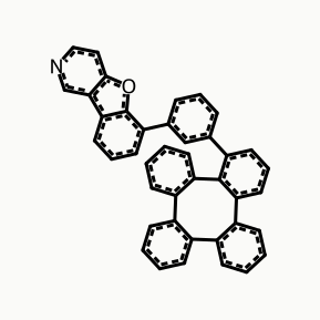 c1cc(-c2cccc3c2-c2ccccc2-c2ccccc2-c2ccccc2-3)cc(-c2cccc3c2oc2ccncc23)c1